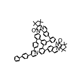 CC1(C)CC(C)(C)c2c1c(=O)nc1c3ccc(-c4ccccc4-c4cc(-c5ccccc5-c5ccc(-c6cc(-c7ccc(-c8ccccc8)cc7)ccn6)cc5)cc(-c5ccccc5-c5ccc6c(ccn7c8c(c(=O)nc67)C(C)(C)CC8(C)C)c5)c4)cc3ccn21